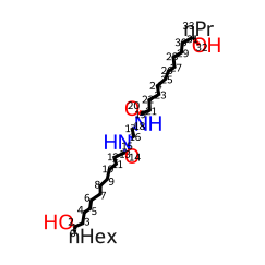 CCCCCCC(O)CCCCCCCCCCC(=O)NCCNC(=O)CCCCCCCCCCC(O)CCC